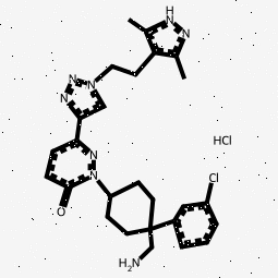 Cc1n[nH]c(C)c1CCn1cc(-c2ccc(=O)n(C3CCC(CN)(c4cccc(Cl)c4)CC3)n2)nn1.Cl